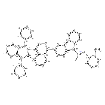 C/C(=C\c1ccccc1N)n1c2ccccc2c2cc(-c3ccc4c5c(cccc35)-c3c-4c(-c4ccccc4)c4ccccc4c3-c3ccccc3)ccc21